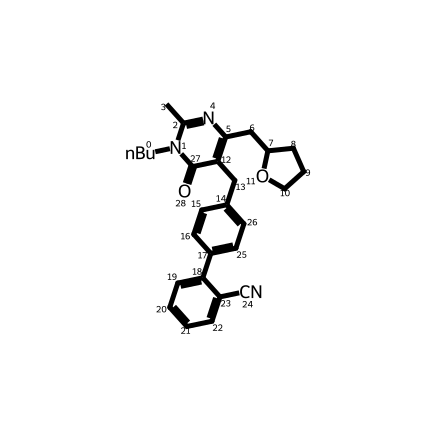 CCCCn1c(C)nc(CC2CCCO2)c(Cc2ccc(-c3ccccc3C#N)cc2)c1=O